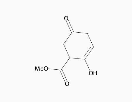 COC(=O)C1CC(=O)CC=C1O